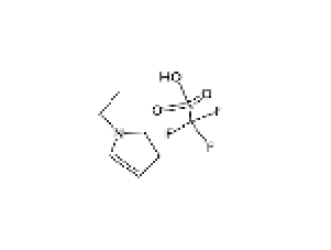 CCN1C=CCC1.O=S(=O)(O)C(F)(F)F